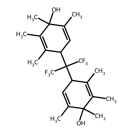 CC1=CC(C(C2C=C(C)C(C)(O)C(C)=C2C)(C(F)(F)F)C(F)(F)F)C(C)=C(C)C1(C)O